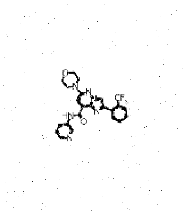 O=C(Nc1cccnc1)c1cc(N2CCOCC2)nn2cc(-c3ccccc3C(F)(F)F)nc12